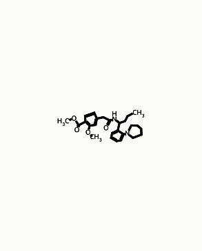 CCCC(NC(=O)Cc1ccc(C(=O)OC)c(OC)c1)c1ccccc1N1CCCCC1